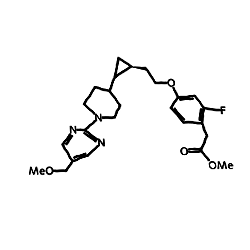 COCc1cnc(N2CCC(C3C[C@H]3CCOc3ccc(CC(=O)OC)c(F)c3)CC2)nc1